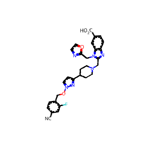 N#Cc1ccc(COn2ccc(C3CCN(Cc4nc5ccc(C(=O)O)cc5n4Cc4ncco4)CC3)n2)c(F)c1